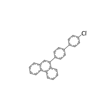 Clc1ccc(-c2ccc(-c3cc4ccccc4c4ccccc34)cc2)cc1